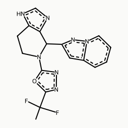 CC(F)(F)c1nnc(N2CCc3[nH]cnc3C2c2cc3ccccn3n2)o1